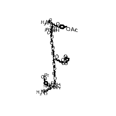 CC(=O)OCc1ccc(NC(=O)C(CCCNC(N)=O)NC(=O)[C@@H](NC(=O)CCOCCOCCOCCOCCN(CCOCCOCCOCCOCCC(=O)N[C@H](C(=O)NC(CCCNC(N)=O)C(=O)Nc2ccc(COC(=O)C(C)C)cc2)C(C)C)C(=O)CCCC(=O)ON2C(=O)CCC2=O)C(C)C)cc1